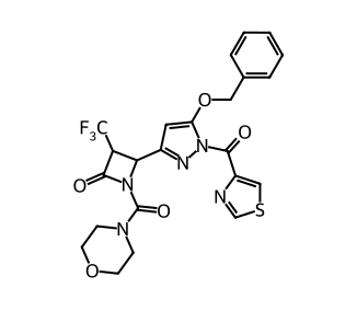 O=C1C(C(F)(F)F)C(c2cc(OCc3ccccc3)n(C(=O)c3cscn3)n2)N1C(=O)N1CCOCC1